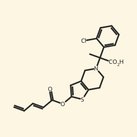 C=CC=CC(=O)Oc1cc2c(s1)CCN(C(C)(C(=O)O)c1ccccc1Cl)C2